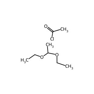 CC(=O)Cl.CCOC(C)OCC